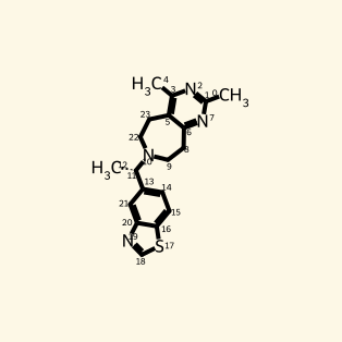 Cc1nc(C)c2c(n1)CCN([C@@H](C)c1ccc3scnc3c1)CC2